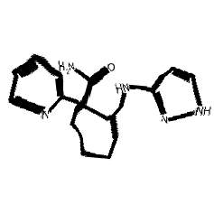 NC(=O)C1(c2ccccn2)CCCCC1Nc1cc[nH]n1